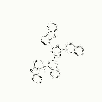 CC1(c2cc(-c3nc(-c4ccc5ccccc5c4)nc(-c4cccc5c4oc4ccccc45)n3)cc3ccccc23)CC=Cc2oc3ccccc3c21